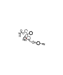 CNC(=O)O[C@H]1CCC[C@@H]1[C@](Cn1cnnc1)(c1ccccc1)C1CCN(CC2CN(c3ccc(C#N)cc3)C2)CC1